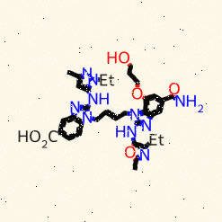 CCc1nc(C)oc1Nc1nc2cc(C(N)=O)cc(OCCCO)c2n1C/C=C/Cn1c(Nc2cc(C)nn2CC)nc2cc(C(=O)O)ccc21